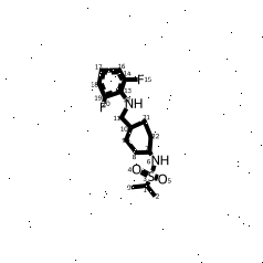 CC(C)S(=O)(=O)NC1CCC(CNc2c(F)cccc2F)CC1